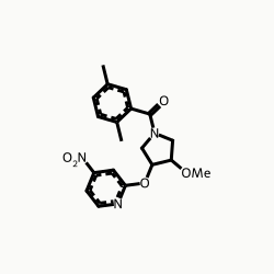 COC1CN(C(=O)c2cc(C)ccc2C)CC1Oc1cc([N+](=O)[O-])ccn1